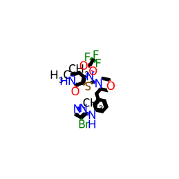 Cn1ncc(Br)c1Nc1cccc(CC2COCCN2C2SC3=C(CC(C)(C)NC3=O)N2OC(=O)C(F)(F)F)c1